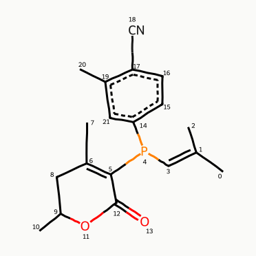 CC(C)=CP(C1=C(C)CC(C)OC1=O)c1ccc(C#N)c(C)c1